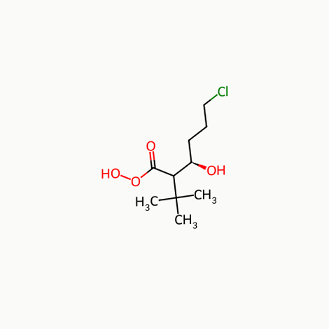 CC(C)(C)C(C(=O)OO)[C@H](O)CCCCl